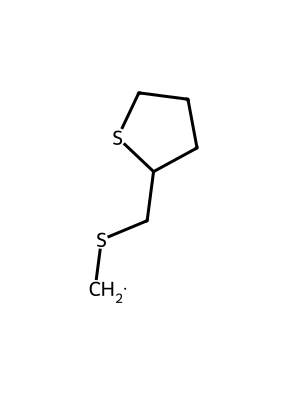 [CH2]SCC1CCCS1